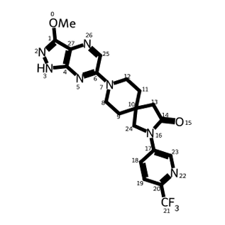 COc1n[nH]c2nc(N3CCC4(CC3)CC(=O)N(c3ccc(C(F)(F)F)nc3)C4)cnc12